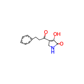 O=C(CCc1ccccc1)C1=C(O)C(=O)NC1